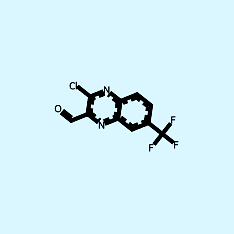 O=Cc1nc2cc(C(F)(F)F)ccc2nc1Cl